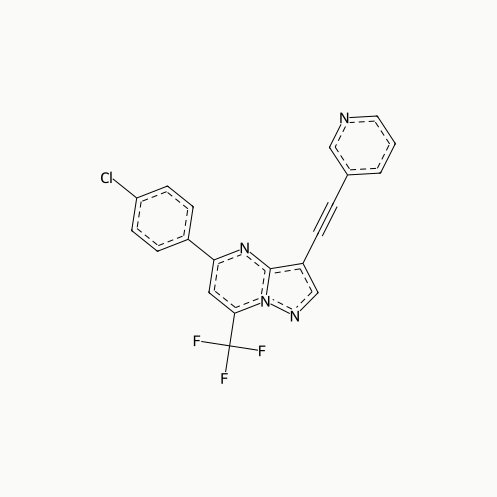 FC(F)(F)c1cc(-c2ccc(Cl)cc2)nc2c(C#Cc3cccnc3)cnn12